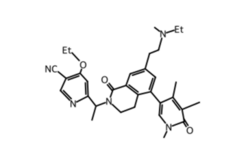 CCOc1cc(C(C)N2CCc3c(cc(CCN(C)CC)cc3-c3cn(C)c(=O)c(C)c3C)C2=O)ncc1C#N